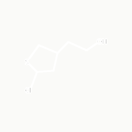 OCCC1CSC(Cl)C1